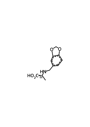 C[C@H](NCc1ccc2c(c1)OCO2)C(=O)O